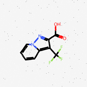 O=C(O)c1nn2ccccc2c1C(F)(F)F